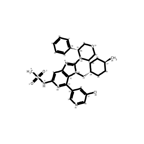 CS(=O)(=O)Nc1cc2nc(N3CCOC[C@H]3c3ccccc3)n(C[C@H]3CC[C@H](C)CC3)c2c(-c2cncc(Cl)c2)n1